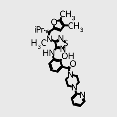 Cc1cc([C@@H](C(C)C)N(C)c2nsnc2Nc2cccc(C(=O)N3CCN(c4ccccn4)CC3)c2O)oc1C